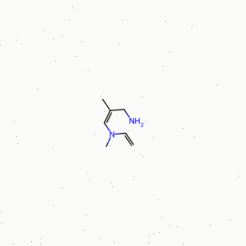 C=CN(C)/C=C(/C)CN